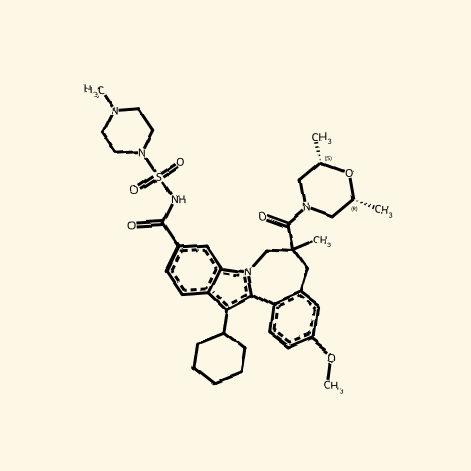 COc1ccc2c(c1)CC(C)(C(=O)N1C[C@@H](C)O[C@@H](C)C1)Cn1c-2c(C2CCCCC2)c2ccc(C(=O)NS(=O)(=O)N3CCN(C)CC3)cc21